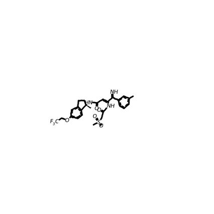 Cc1cccc(C(=N)/C(=C/C(=O)N[C@@]2(C)CCc3cc(OCC(F)(F)F)ccc32)NC(=O)CS(C)(=O)=O)c1